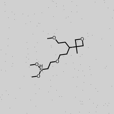 COCCC(CCOCC[SiH](OC)OC)C1(C)COC1